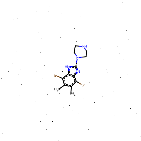 Bc1c(B)c(Br)c2[nH]c(N3CCNCC3)nc2c1Br